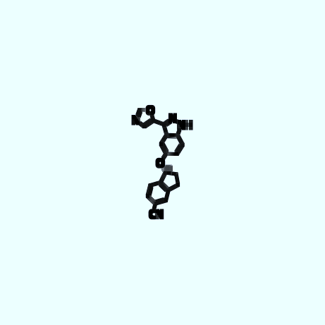 N#Cc1ccc2c(c1)CC[C@H]2Oc1ccc2[nH]nc(-c3cnco3)c2c1